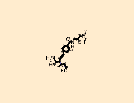 CC/C=C\C(C)=C(/C#Cc1ccc(C(=O)NCC(O)CN(C)C)cc1)C(=N)N